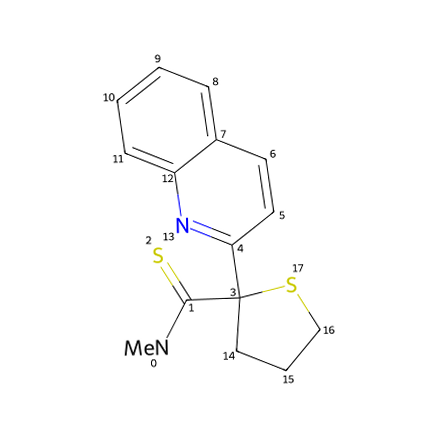 CNC(=S)C1(c2ccc3ccccc3n2)CCCS1